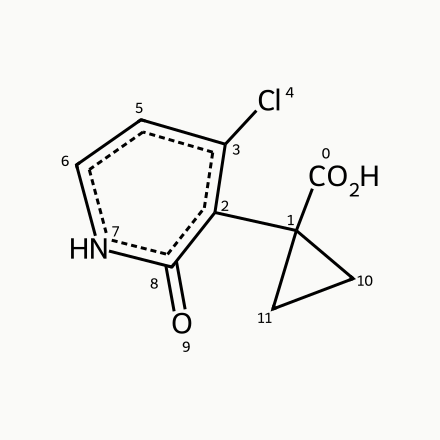 O=C(O)C1(c2c(Cl)cc[nH]c2=O)CC1